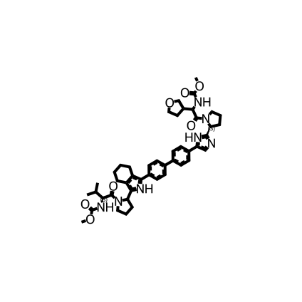 COC(=O)NC(C(=O)N1CCC[C@H]1c1ncc(-c2ccc(-c3ccc(-c4[nH]c(C5CCCN5C(=O)[C@@H](NC(=O)OC)C(C)C)c5c4CCCC5)cc3)cc2)[nH]1)C1CCOC1